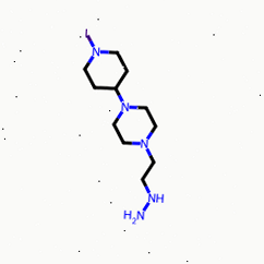 NNCCN1CCN(C2CCN(I)CC2)CC1